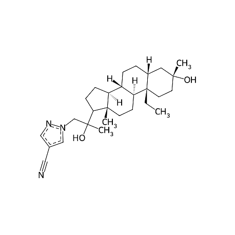 CC[C@]12CC[C@@](C)(O)C[C@H]1CC[C@@H]1[C@@H]2CC[C@]2(C)C(C(C)(O)Cn3cc(C#N)cn3)CC[C@@H]12